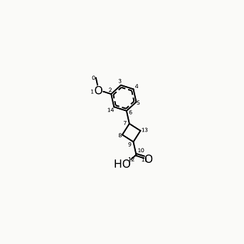 COc1cccc(C2CC(C(=O)O)C2)c1